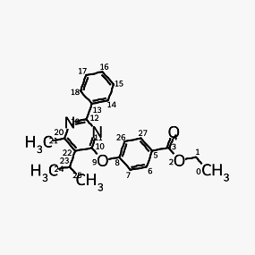 CCOC(=O)c1ccc(Oc2nc(-c3ccccc3)nc(C)c2C(C)C)cc1